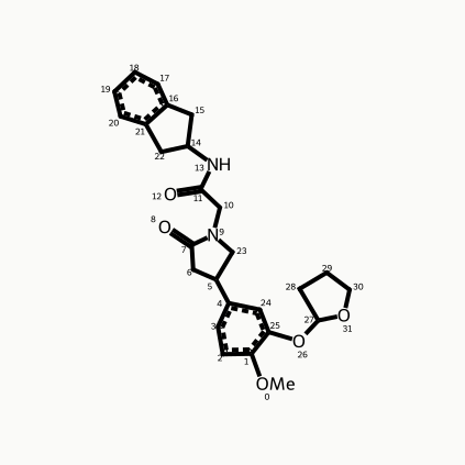 COc1ccc(C2CC(=O)N(CC(=O)NC3Cc4ccccc4C3)C2)cc1OC1CCCO1